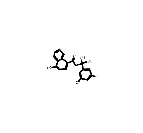 Cc1ccc(C(=O)CC(O)(c2cc(Cl)cc(Cl)c2)C(F)(F)F)c2ccccc12